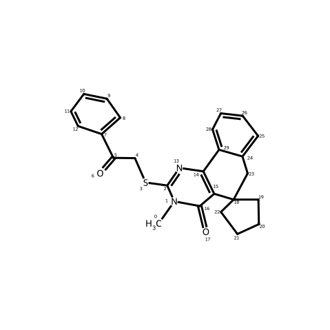 Cn1c(SCC(=O)c2ccccc2)nc2c(c1=O)C1(CCCC1)Cc1ccccc1-2